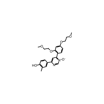 COCCOc1ccc(-c2cc(-c3ccc(O)c(C)c3)nc[n+]2[O-])c(OCCOC)c1